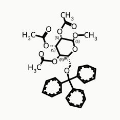 CO[C@H]1O[C@H](COC(c2ccccc2)(c2ccccc2)c2ccccc2)[C@@H](OC(C)=O)[C@H](OC(C)=O)[C@@H]1OC(C)=O